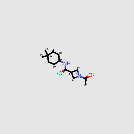 CC(=O)N1CC(C(=O)NC2CCC(C)(C)CC2)C1